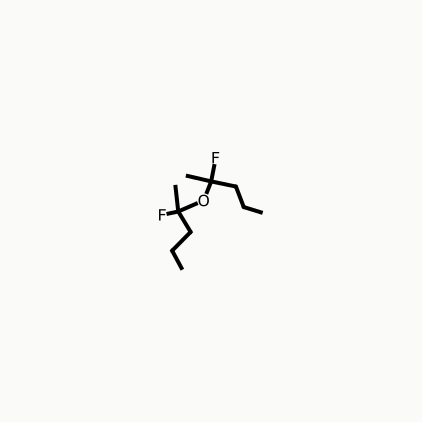 CCCC(C)(F)OC(C)(F)CCC